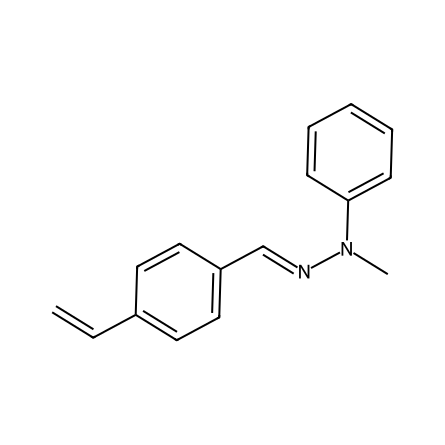 C=Cc1ccc(C=NN(C)c2ccccc2)cc1